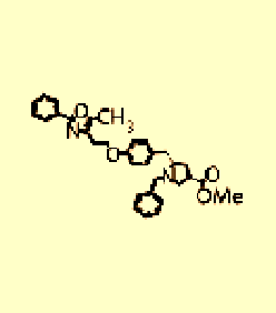 COC(=O)[C@@H]1C[C@@H](Cc2ccc(OCCc3nc(-c4ccccc4)oc3C)cc2)N(Cc2ccccc2)C1